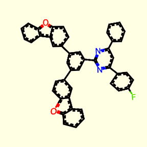 Fc1ccc(-c2cc(-c3ccccc3)nc(-c3cc(-c4ccc5oc6ccccc6c5c4)cc(-c4ccc5oc6ccccc6c5c4)c3)n2)cc1